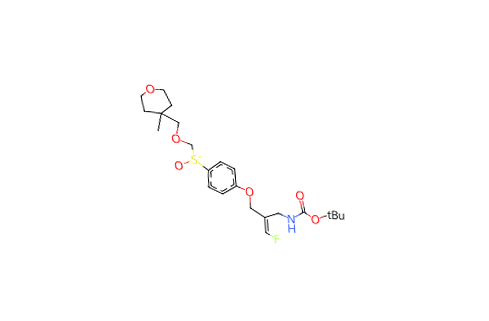 CC1(COC[S+]([O-])c2ccc(OC/C(=C/F)CNC(=O)OC(C)(C)C)cc2)CCOCC1